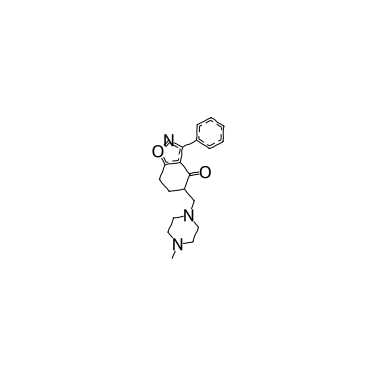 CN1CCN(CC2CCc3onc(-c4ccccc4)c3C2=O)CC1